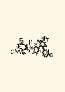 COc1ccc(F)cc1SNc1cccc(-c2nc(C(C)C)sc2-c2ccnc(Cl)n2)c1